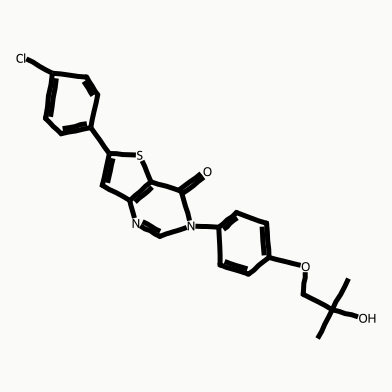 CC(C)(O)COc1ccc(-n2cnc3cc(-c4ccc(Cl)cc4)sc3c2=O)cc1